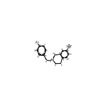 Fc1ccc(CN2CCc3ccc(Br)cc3C2)cc1